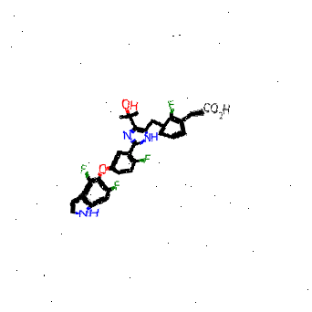 CC(C)(O)c1nc(-c2cc(Oc3c(F)cc4[nH]ccc4c3F)ccc2F)[nH]c1Cc1cccc(CCC(=O)O)c1F